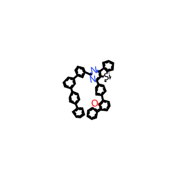 C[Si]1(C)c2ccccc2-c2nc(-c3cccc(-c4cccc(-c5ccc(-c6ccccc6)cc5)c4)c3)nc(-c3ccc(-c4cccc5c4oc4ccccc45)cc3)c21